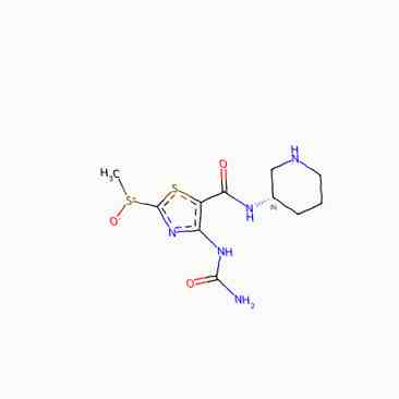 C[S+]([O-])c1nc(NC(N)=O)c(C(=O)N[C@H]2CCCNC2)s1